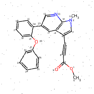 COC(=O)C#Cc1cn(C)c2ncc(-c3ccccc3Oc3ccccc3)cc12